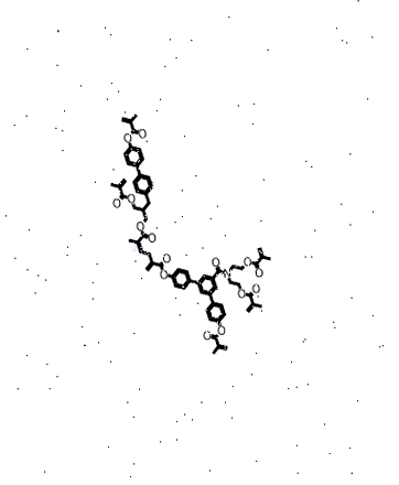 C=C(C)C(=O)OCCN(CCOC(=O)C(=C)C)C(=O)c1cc(-c2ccc(OC(=O)C(=C)C)cc2)cc(-c2ccc(OC(=O)C(=C)C/C=C(/C)C(=O)OCC(COC(=O)C(=C)C)Cc3ccc(-c4ccc(OC(=O)C(=C)C)cc4)cc3)cc2)c1